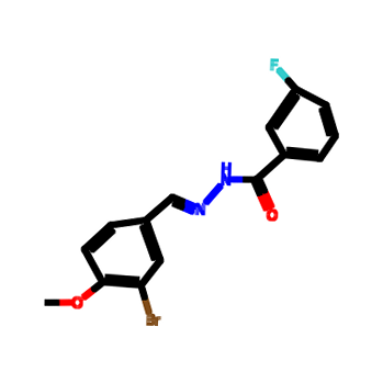 COc1ccc(C=NNC(=O)c2cccc(F)c2)cc1Br